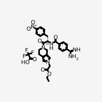 CCOC(=O)Cn1cc2c(c1)CN(C(=O)[C@H](Cc1ccc([N+](=O)[O-])cc1)NC(=O)c1ccc(C(=N)N)cc1)CC2.O=C(O)C(F)(F)F